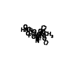 CC(COC1CCCCC1)NP(=O)(OC[C@@]12O[C@@H](n3ccc(=O)[nH]c3=O)[C@H](F)[C@@]1(O)C2N=[N+]=[N-])Oc1ccccc1